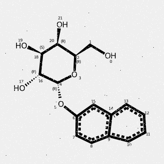 OC[C@H]1O[C@H](Oc2ccc3ccccc3c2)[C@H](O)[C@@H](O)[C@H]1O